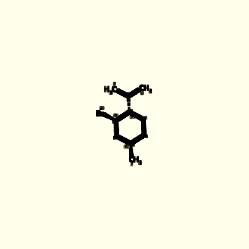 CC(C)[C@@H]1CC[C@@H](C)C[C@H]1Br